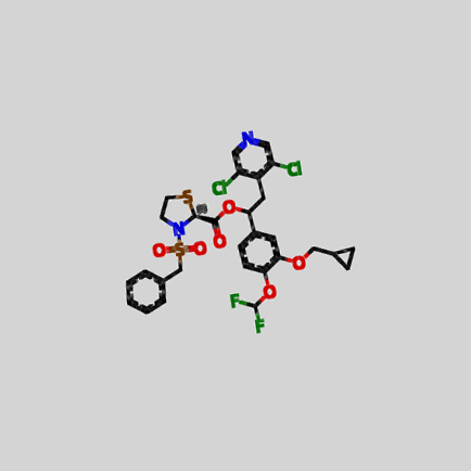 O=C(OC(Cc1c(Cl)cncc1Cl)c1ccc(OC(F)F)c(OCC2CC2)c1)[C@@H]1SCCN1S(=O)(=O)Cc1ccccc1